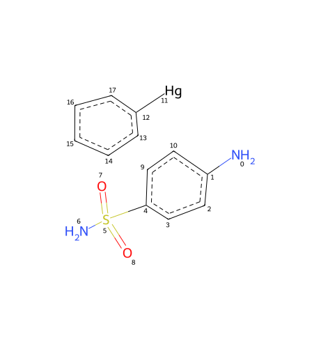 Nc1ccc(S(N)(=O)=O)cc1.[Hg][c]1ccccc1